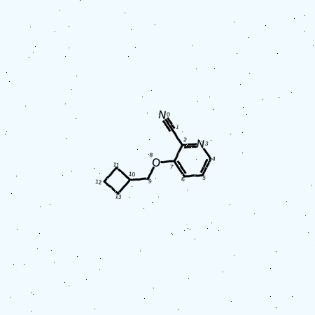 N#Cc1ncccc1OCC1CCC1